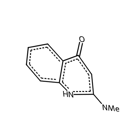 CNc1cc(=O)c2ccccc2[nH]1